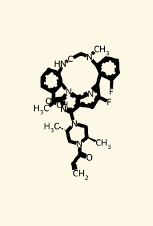 C=CC(=O)N1C[C@H](C)N(c2nc(=O)n3c4nc(c(F)cc24)-c2c(F)cccc2N(C)CCNc2cccc(C(C)C)c2-3)C[C@H]1C